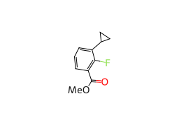 COC(=O)c1cccc(C2CC2)c1F